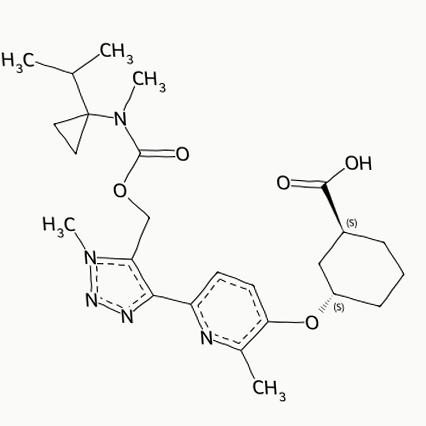 Cc1nc(-c2nnn(C)c2COC(=O)N(C)C2(C(C)C)CC2)ccc1O[C@H]1CCC[C@H](C(=O)O)C1